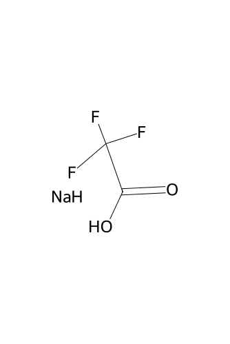 O=C(O)C(F)(F)F.[NaH]